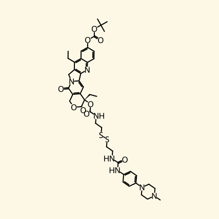 CCc1c2c(nc3ccc(OC(=O)OC(C)(C)C)cc13)-c1cc3c(c(=O)n1C2)COC(=O)[C@@]3(CC)OC(=O)NCCSSCCNC(=O)Nc1ccc(N2CCN(C)CC2)cc1